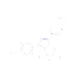 CC(C)(CO)NC(=O)c1nn(-c2cnc(O)cn2)c2c1C[C@H]1C[C@@H]21